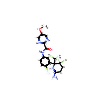 COc1cnc(C(=O)Nc2ccc(F)c(C3(C(F)F)N=C(N)CCC3(F)F)c2)nc1